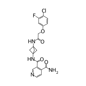 NC(=O)c1ccncc1C(=O)NC12CC(NC(=O)COc3ccc(Cl)c(F)c3)(C1)C2